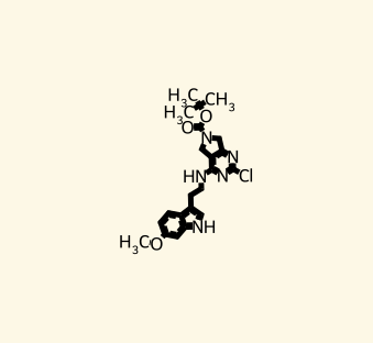 COc1ccc2c(CCNc3nc(Cl)nc4c3CN(C(=O)OC(C)(C)C)C4)c[nH]c2c1